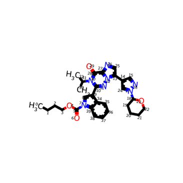 CCCCOC(=O)n1cc(-c2nn3c(-c4cnn(C5CCCCO5)c4)cnc3c(=O)n2C(C)C)c2ccccc21